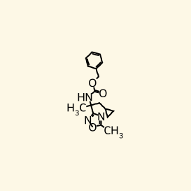 Cc1nc(C(C)(CC2CC2)NC(=O)OCc2ccccc2)no1